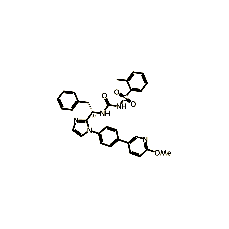 COc1ccc(-c2ccc(-n3ccnc3[C@H](Cc3ccccc3)NC(=O)NS(=O)(=O)c3ccccc3C)cc2)cn1